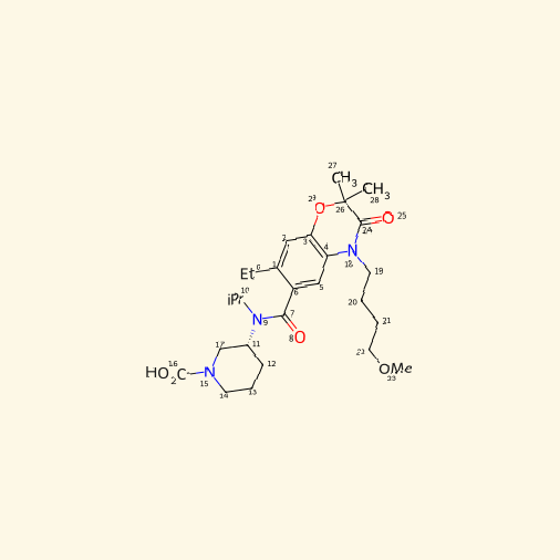 CCc1cc2c(cc1C(=O)N(C(C)C)[C@@H]1CCCN(C(=O)O)C1)N(CCCCOC)C(=O)C(C)(C)O2